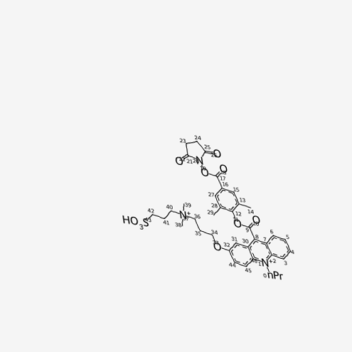 CCC[n+]1c2ccccc2c(C(=O)Oc2c(C)cc(C(=O)ON3C(=O)CCC3=O)cc2C)c2cc(OCCC[N+](C)(C)CCCS(=O)(=O)O)ccc21